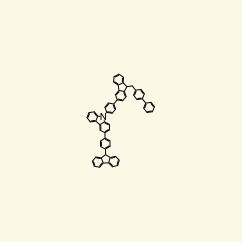 c1ccc(-c2ccc(CC3c4ccccc4-c4cc(-c5ccc(-n6c7ccccc7c7cc(-c8ccc(C9c%10ccccc%10-c%10ccccc%109)cc8)ccc76)cc5)ccc43)cc2)cc1